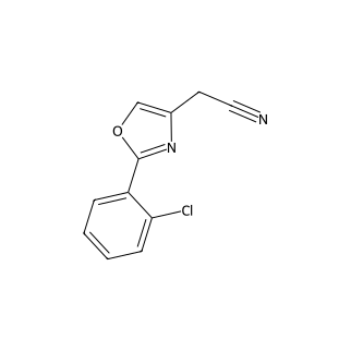 N#CCc1coc(-c2ccccc2Cl)n1